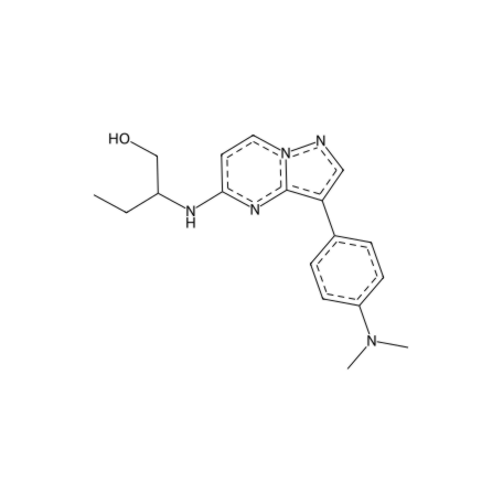 CCC(CO)Nc1ccn2ncc(-c3ccc(N(C)C)cc3)c2n1